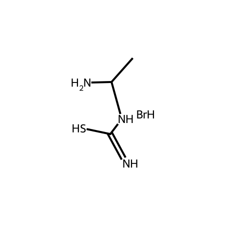 Br.CC(N)NC(=N)S